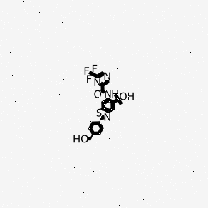 CC(C)(O)c1cc2nc([C@H]3CC[C@H](CO)CC3)sc2cc1NC(=O)c1cncc(C(F)(F)F)n1